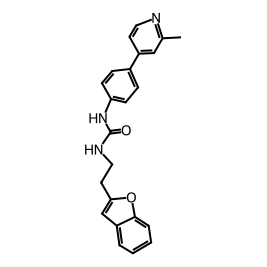 Cc1cc(-c2ccc(NC(=O)NCCc3cc4ccccc4o3)cc2)ccn1